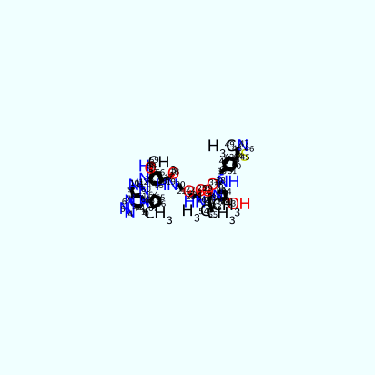 CC[C@@H]1c2nncn2-c2cnc(Nc3ccc(C(=O)NCCOCC(=O)N[C@H](C(=O)N4C[C@H](O)C[C@H]4C(=O)NCc4ccc(-c5scnc5C)cc4)C(C)(C)C)cc3OC)nc2N1C1CCCC1